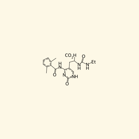 CCNC(=O)NC(Cc1c[nH]c(=O)nc1NC(=O)c1c(C)cccc1C)C(=O)O